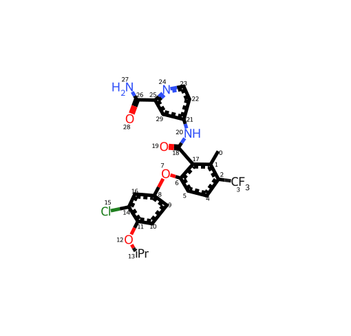 Cc1c(C(F)(F)F)ccc(Oc2ccc(OC(C)C)c(Cl)c2)c1C(=O)Nc1ccnc(C(N)=O)c1